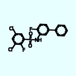 O=S(=O)(Nc1cc(-c2ccccc2)ccc1F)c1cc(Cl)cc(Cl)c1F